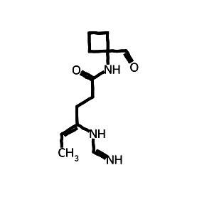 C/C=C(/CCC(=O)NC1(C=O)CCC1)NC=N